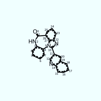 O=C1Nc2ccccc2-n2c(-c3cnc4ccccc4c3)nc3cccc1c32